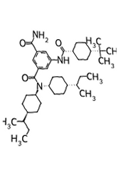 CCC(C)[C@H]1CC[C@@H](N(C(=O)c2cc(NC(=O)[C@H]3CC[C@@H](C(C)(C)C)CC3)cc(C(N)=O)c2)[C@H]2CC[C@@H](C(C)CC)CC2)CC1